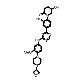 COc1cc(Nc2ncnc(-c3ccc(N4CC(O)CCC4=O)c(C#N)c3)n2)ccc1N1CCN(C2COC2)CC1